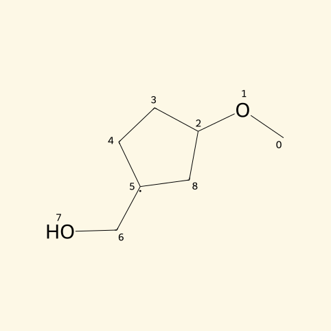 COC1CC[C](CO)C1